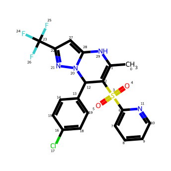 CC1=C(S(=O)(=O)c2ccccn2)C(c2ccc(Cl)cc2)n2nc(C(F)(F)F)cc2N1